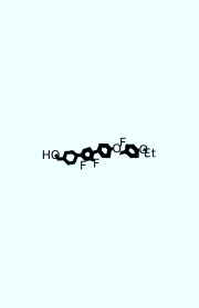 CCOc1ccc(COc2ccc(-c3ccc(C4CCC(CO)CC4)c(F)c3F)cc2)c(F)c1